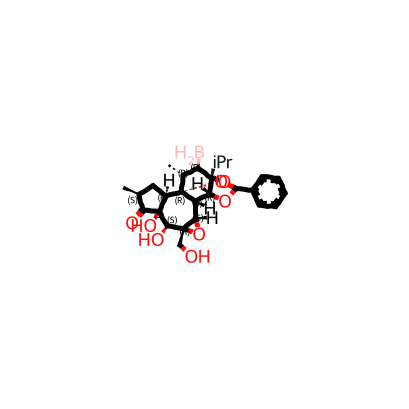 B[C@@H]1[C@@H](C)[C@@]23OC4(c5ccccc5)O[C@H]([C@@H]2[C@@H]2O[C@]2(CO)[C@@H](O)[C@]2(O)C(=O)[C@@H](C)C[C@H]23)[C@@]1(C(C)C)O4